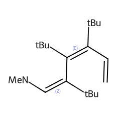 C=C/C(=C(\C(=C/NC)C(C)(C)C)C(C)(C)C)C(C)(C)C